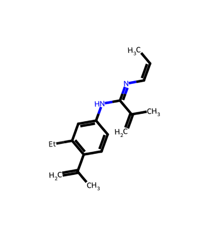 C=C(C)/C(=N\C=C/C)Nc1ccc(C(=C)C)c(CC)c1